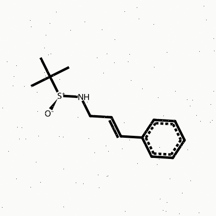 CC(C)(C)[S@+]([O-])NC/C=C/c1ccccc1